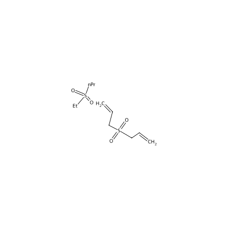 C=CCS(=O)(=O)CC=C.CCCS(=O)(=O)CC